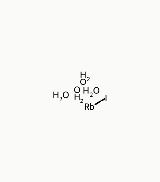 O.O.O.O.[Rb][I]